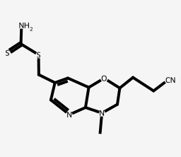 CN1CC(CCC#N)OC2C=C(CSC(N)=S)C=NC21